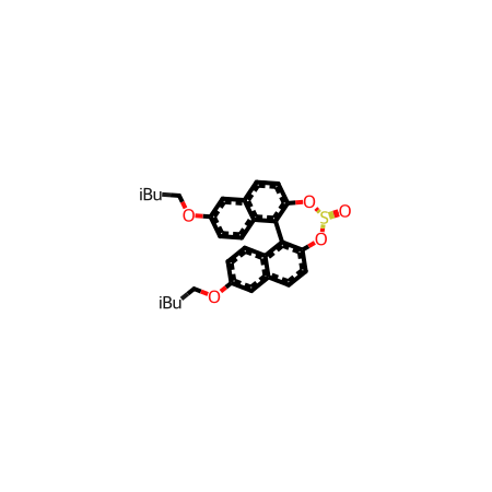 CCC(C)COc1ccc2c3c(ccc2c1)OS(=O)Oc1ccc2cc(OCC(C)CC)ccc2c1-3